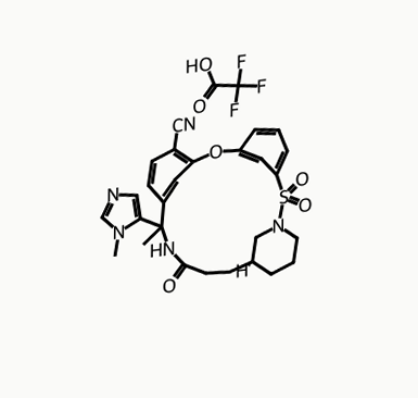 Cn1cncc1C1(C)NC(=O)CC[C@@H]2CCCN(C2)S(=O)(=O)c2cccc(c2)Oc2cc1ccc2C#N.O=C(O)C(F)(F)F